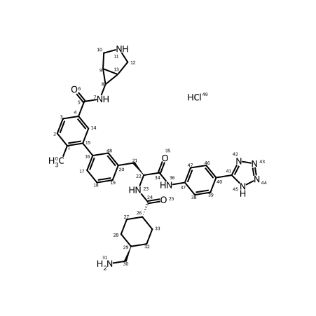 Cc1ccc(C(=O)NC2C3CNCC32)cc1-c1cccc(C[C@H](NC(=O)[C@H]2CC[C@H](CN)CC2)C(=O)Nc2ccc(-c3nnn[nH]3)cc2)c1.Cl